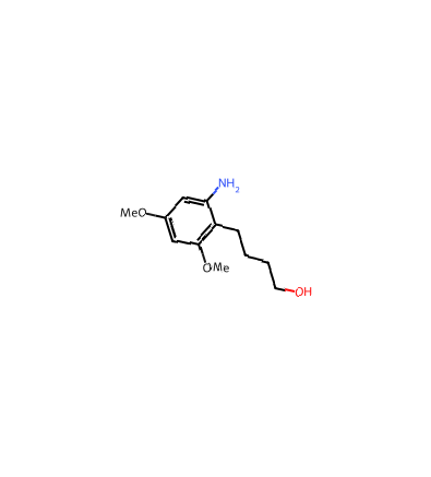 COc1cc(N)c(CCCCO)c(OC)c1